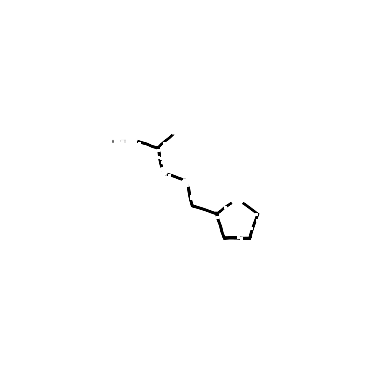 CCCCCC(CCC)SSCC1CCCO1